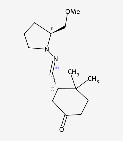 COC[C@@H]1CCCN1/N=C/[C@H]1CC(=O)CCC1(C)C